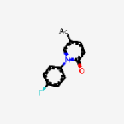 CC(=O)c1ccc(=O)n(-c2ccc(F)cc2)c1